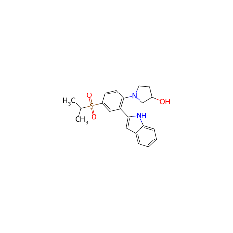 CC(C)S(=O)(=O)c1ccc(N2CCC(O)C2)c(-c2cc3ccccc3[nH]2)c1